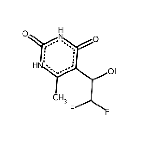 Cc1[nH]c(=O)[nH]c(=O)c1C(O)C(F)F